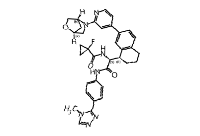 Cn1cnnc1-c1ccc(NC(=O)[C@@H](NC(=O)C2(F)CC2)[C@@H]2CCCc3ccc(-c4ccnc(N5C[C@H]6C[C@@H]5CO6)c4)cc32)cc1